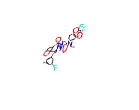 CCN(C(=O)Cn1nc(-c2cc(C)cc(F)c2)c2occc2c1=O)c1ccc2c(c1)OC(F)(F)O2